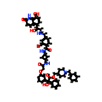 O=C(COc1cccc([C@](O)(C(=O)OCC2CCN(Cc3ccccc3)CC2)c2ccccc2)c1)N[C@H]1C[C@H](NC(=O)c2ccc(CNC[C@H](O)c3ccc(O)c4[nH]c(=O)ccc34)cc2Br)C1